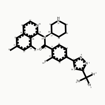 [2H]C([2H])([2H])c1nnc(-c2ccc(C(=O)N(c3nccc4cc(C)cc(C)c34)[C@@H]3CCCNC3)c(F)c2)s1